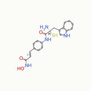 N[C@@](S)(Cc1c[nH]c2ccccc12)C(=O)Nc1ccc(/C=C/C(=O)NO)cc1